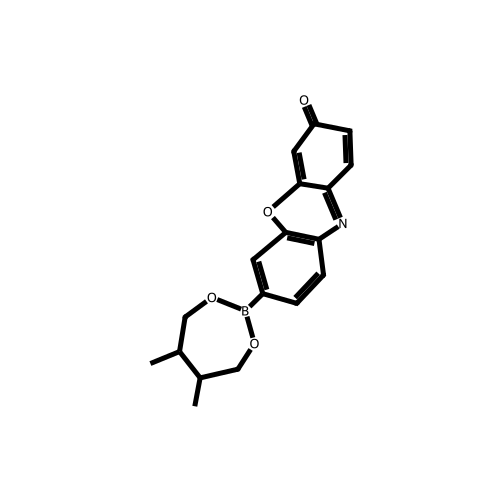 CC1COB(c2ccc3nc4ccc(=O)cc-4oc3c2)OCC1C